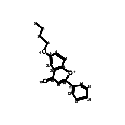 CCCCOc1ccc2oc(-c3ccccc3)cc(=O)c2c1